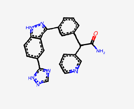 NC(=O)C(c1cccnc1)c1cccc(-c2n[nH]c3ccc(-c4ncn[nH]4)cc23)c1